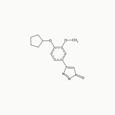 COc1cc(C2=CC(=O)N=N2)ccc1OC1CCCC1